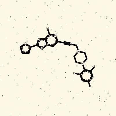 Nc1nc(C#CCN2CCN(c3c(F)cc(F)cc3F)CC2)cn2nc(-c3ccco3)nc12